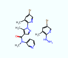 Cc1cc(Br)cnc1-n1ncc(C(=O)N(C)c2cccnc2)c1C.Cc1cc(Br)cnc1NN